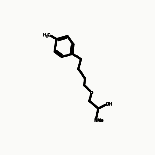 CNC(O)COCCCCc1ccc(C)cc1